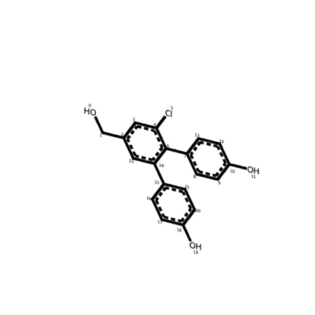 OCc1cc(Cl)c(-c2ccc(O)cc2)c(-c2ccc(O)cc2)c1